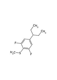 CCC(CC)c1cc(F)c(SC)c(F)c1